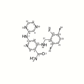 NC(=O)c1cnc(Nc2cnccn2)cc1NCc1c(F)ccc(F)c1F